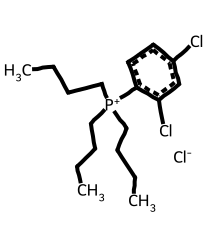 CCCC[P+](CCCC)(CCCC)c1ccc(Cl)cc1Cl.[Cl-]